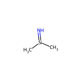 C[Si](C)=N